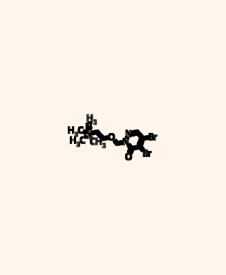 C[SH](C)(C)(C)CCOCn1ncc(Br)c(Br)c1=O